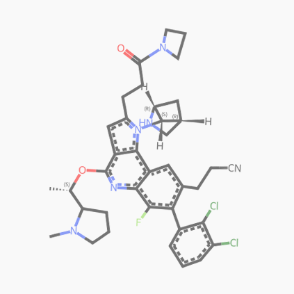 C[C@H](Oc1nc2c(F)c(-c3cccc(Cl)c3Cl)c(CCC#N)cc2c2c1cc(CCC(=O)N1CCC1)n2[C@H]1[C@H]2CN[C@@H]1C2)C1CCCN1C